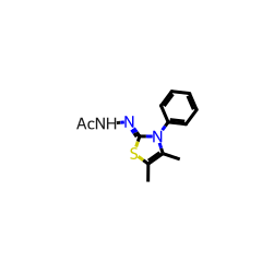 CC(=O)NN=c1sc(C)c(C)n1-c1ccccc1